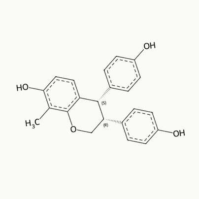 Cc1c(O)ccc2c1OC[C@@H](c1ccc(O)cc1)[C@H]2c1ccc(O)cc1